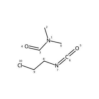 CN(C)C=O.O=C=NCCCl